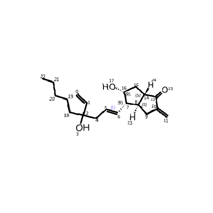 C=CC(O)(C/C=C/[C@H]1[C@@H]2CC(=C)C(=O)[C@H]2C[C@H]1O)CCCCC